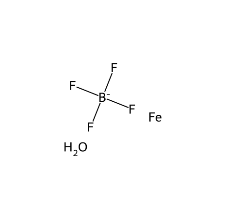 F[B-](F)(F)F.O.[Fe]